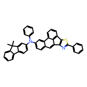 CC1(C)c2ccccc2-c2ccc(N(c3ccccc3)c3ccc4cc5c6c(cccc6c4c3)-c3sc(-c4ccccc4)nc3-5)cc21